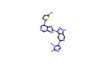 CC(=O)c1ccc(-c2cncc3[nH]c(-c4n[nH]c5cnc(-c6cnc(C)n6C)cc45)nc23)s1